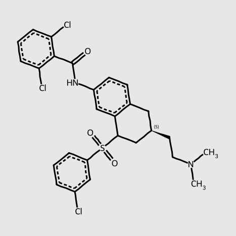 CN(C)CC[C@@H]1Cc2ccc(NC(=O)c3c(Cl)cccc3Cl)cc2C(S(=O)(=O)c2cccc(Cl)c2)C1